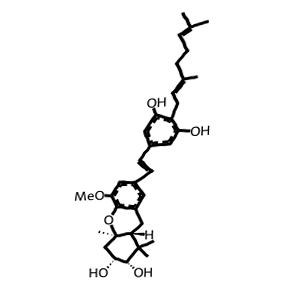 COc1cc(/C=C/c2cc(O)c(C/C=C(\C)CCC=C(C)C)c(O)c2)cc2c1O[C@]1(C)C[C@@H](O)[C@@H](O)C(C)(C)[C@H]1C2